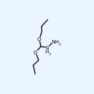 CCCOC(OCCC)[SiH2]N